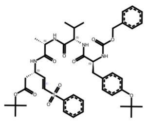 CC(C)[C@H](NC(=O)[C@H](Cc1ccc(OC(C)(C)C)cc1)NC(=O)OCc1ccccc1)C(=O)N[C@@H](C)C(=O)N[C@H](/C=C/S(=O)(=O)c1ccccc1)CC(=O)OC(C)(C)C